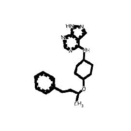 CC(CCc1ccccc1)OC1CCC(Nc2ncnc3[nH]ncc23)CC1